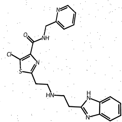 O=C(NCc1ccccn1)c1nc(CCNCCc2nc3ccccc3[nH]2)sc1Cl